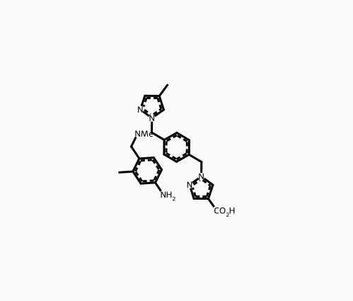 CNCc1ccc(N)cc1C.Cc1cnn(Cc2ccc(Cn3cc(C(=O)O)cn3)cc2)c1